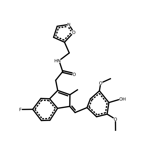 COc1cc(C=C2C(C)=C(CC(=O)NCc3ccno3)c3cc(F)ccc32)cc(OC)c1O